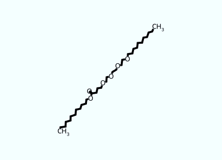 CCCCCCCCCCCCOC(=O)CCCOCCOCCOCCOCCCCCCCCCCC